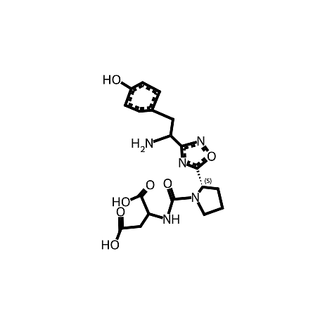 NC(Cc1ccc(O)cc1)c1noc([C@@H]2CCCN2C(=O)NC(CC(=O)O)C(=O)O)n1